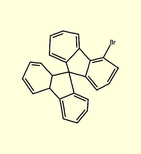 Brc1cccc2c1-c1ccccc1C21c2ccccc2C2C=CC=CC21